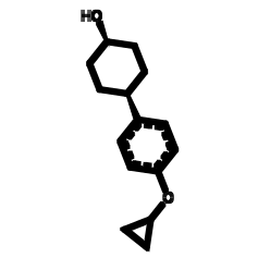 O[C@H]1CC[C@@H](c2ccc(OC3CC3)cc2)CC1